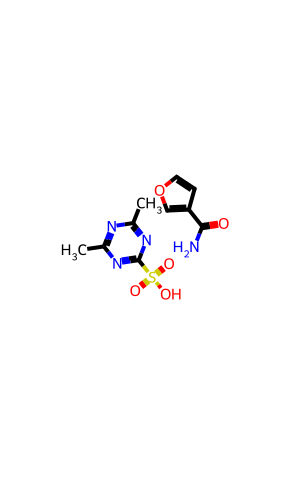 Cc1nc(C)nc(S(=O)(=O)O)n1.NC(=O)c1ccoc1